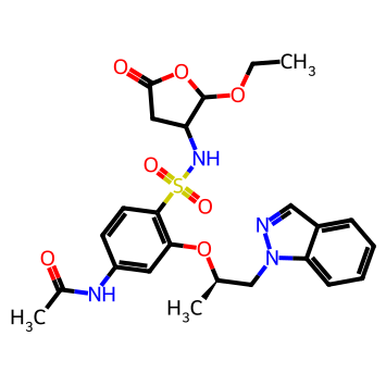 CCOC1OC(=O)CC1NS(=O)(=O)c1ccc(NC(C)=O)cc1O[C@H](C)Cn1ncc2ccccc21